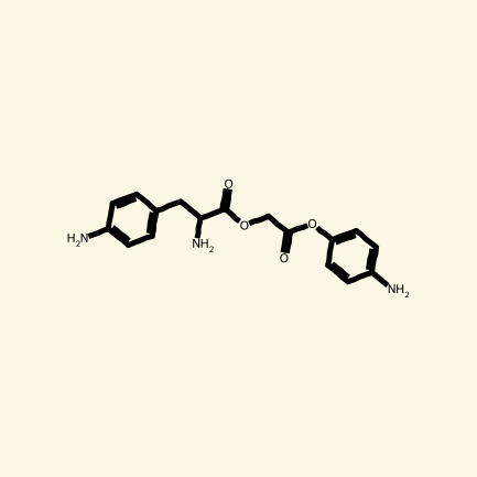 Nc1ccc(CC(N)C(=O)OCC(=O)Oc2ccc(N)cc2)cc1